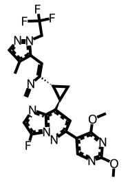 C=N/C(=C\c1c(C)cnn1CC(F)(F)F)[C@@H]1C[C@H]1c1cc(-c2cnc(OC)nc2OC)nn2c(F)cnc12